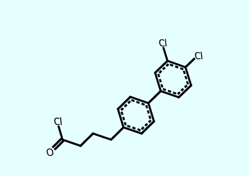 O=C(Cl)CCCc1ccc(-c2ccc(Cl)c(Cl)c2)cc1